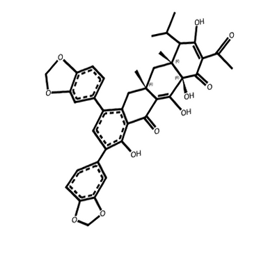 CC(=O)C1=C(O)C(C(C)C)[C@@]2(C)C[C@@]3(C)Cc4c(-c5ccc6c(c5)OCO6)cc(-c5ccc6c(c5)OCO6)c(O)c4C(=O)C3=C(O)[C@@]2(O)C1=O